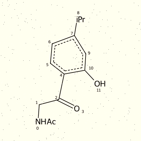 CC(=O)NCC(=O)c1ccc(C(C)C)cc1O